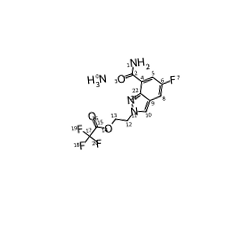 N.NC(=O)c1cc(F)cc2cn(CCOC(=O)C(F)(F)F)nc12